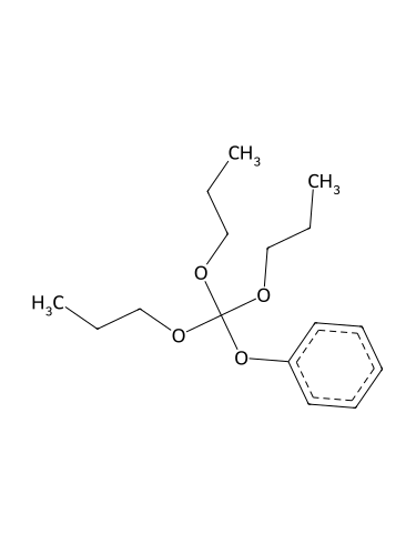 CCCOC(OCCC)(OCCC)Oc1ccccc1